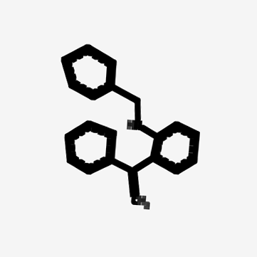 C=C(c1ccccc1)c1ccccc1NCc1ccccc1